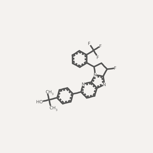 CC(C)(O)c1ccc(-c2ccc3nc4n(c3n2)C(c2ccccc2C(F)(F)F)CC4F)cc1